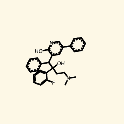 CN(C)CCC(O)(C1=C=C=CC=C1F)C(c1ccccc1)c1cc(-c2ccccc2)cnc1O